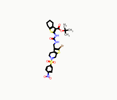 CC(C)(C)OC(=O)c1c(NC(=O)NCc2c(Br)sc3c2CCN(S(=O)(=O)c2ccc([N+](=O)[O-])cc2)C3)sc2c1CCCC2